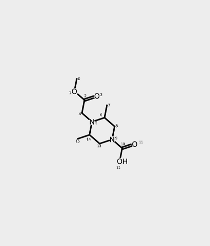 COC(=O)CN1C(C)CN(C(=O)O)CC1C